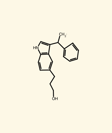 [CH2]C(c1ccccc1)c1c[nH]c2ccc(CCCO)cc12